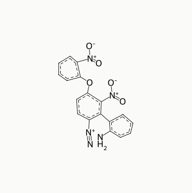 N#[N+]c1ccc(Oc2ccccc2[N+](=O)[O-])c([N+](=O)[O-])c1-c1ccccc1N